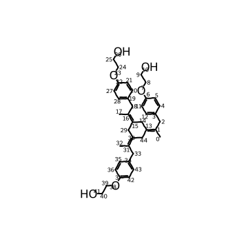 CC(Cc1ccc(OCCO)cc1)=C1CC(=C(C)Cc2ccc(OCCO)cc2)CC(=C(C)Cc2ccc(OCCO)cc2)C1